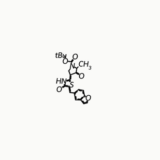 CC1C(=O)/C(=c2/[nH]c(=O)/c(=C/c3ccc4occc4c3)s2)CN1C(=O)OC(C)(C)C